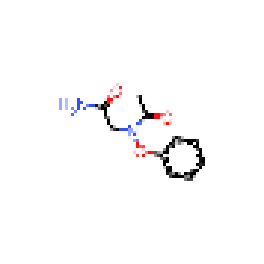 CC(=O)N(CC(N)=O)Oc1ccccc1